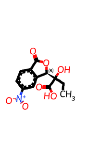 CCC(O)(C(=O)O)[C@@H]1OC(=O)c2ccc([N+](=O)[O-])cc21